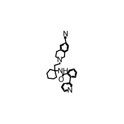 N#Cc1ccc2c(c1)CCN(CCC1(NC(=O)c3ccccc3-c3cccnc3)CCCCC1)C2